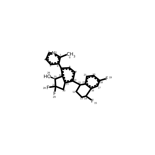 Cc1ncccc1-c1ccc(C2CCC(F)c3cc(F)ccc32)c2c1[C@H](O)C(F)(F)C2